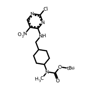 CN(C(=O)OC(C)(C)C)C1CCC(CNc2nc(Cl)ncc2[N+](=O)[O-])CC1